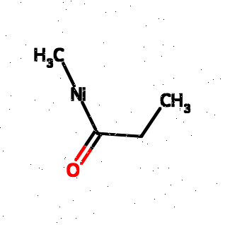 CC[C](=O)[Ni][CH3]